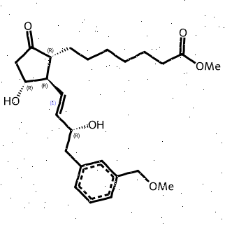 COCc1cccc(C[C@@H](O)/C=C/[C@H]2[C@H](O)CC(=O)[C@@H]2CCCCCCC(=O)OC)c1